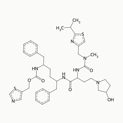 CC(C)c1nc(CN(C)C(=O)NC(CCN2CCC(O)C2)C(=O)NC(CCC(Cc2ccccc2)NC(=O)OCc2cncs2)Cc2ccccc2)cs1